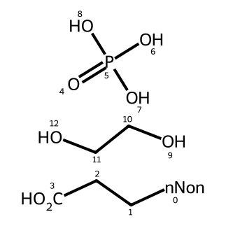 CCCCCCCCCCCC(=O)O.O=P(O)(O)O.OCCO